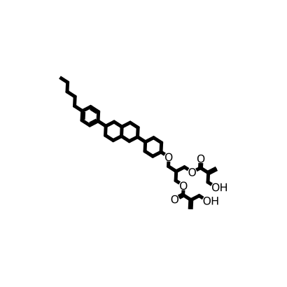 C=C(CO)C(=O)OCC(COC(=O)C(=C)CO)COC1CCC(C2CCC3CC(c4ccc(CCCCC)cc4)CCC3C2)CC1